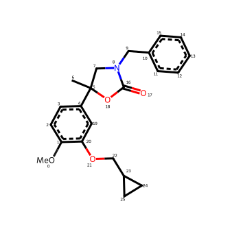 COc1ccc(C2(C)CN(Cc3ccccc3)C(=O)O2)cc1OCC1CC1